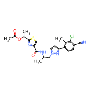 CC(=O)OC(C)c1nc(C(=O)NC(C)Cn2ccc(-c3ccc(C#N)c(Cl)c3C)n2)cs1